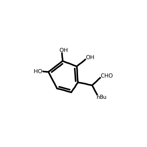 CCCCC(C=O)c1ccc(O)c(O)c1O